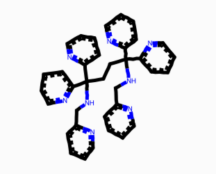 c1ccc(CNC(CCC(NCc2ccccn2)(c2ccccn2)c2ccccn2)(c2ccccn2)c2ccccn2)nc1